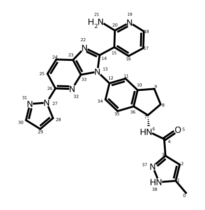 Cc1cc(C(=O)N[C@H]2CCc3cc(-n4c(-c5cccnc5N)nc5ccc(-n6cccn6)nc54)ccc32)n[nH]1